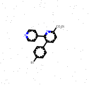 CCOC(=O)c1ccc(-c2ccc(CC)cc2)c(-c2ccncc2)n1